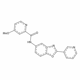 COc1ccnc(C(=O)Nc2ccc3oc(-c4cccnc4)nc3c2)c1